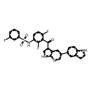 O=C(c1c(F)ccc(NS(=O)(=O)c2cccc(F)c2)c1F)c1c[nH]c2ncc(-c3ccc4[nH]ccc4c3)cc12